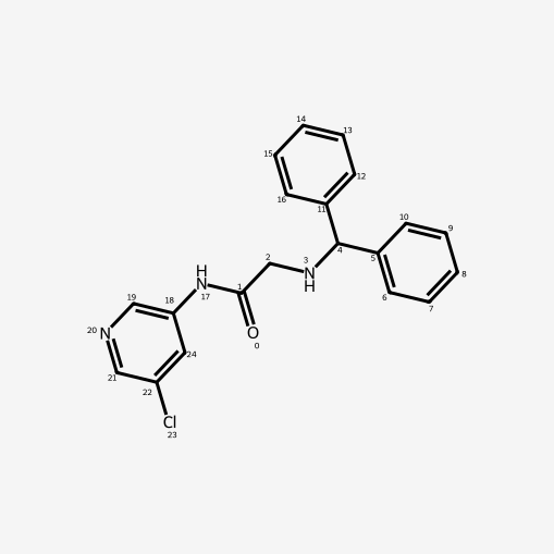 O=C(CNC(c1ccccc1)c1ccccc1)Nc1cncc(Cl)c1